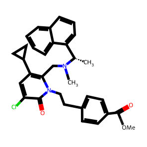 COC(=O)c1ccc(CCn2c(CN(C)[C@@H](C)c3cccc4ccccc34)c(C3CC3)cc(Cl)c2=O)cc1